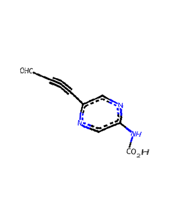 O=CC#Cc1cnc(NC(=O)O)cn1